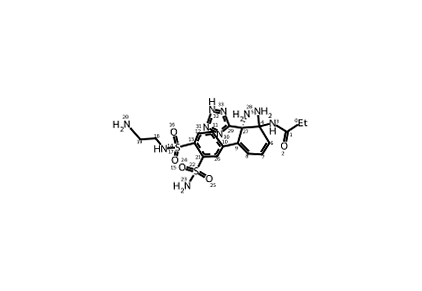 CCC(=O)NC1(N)C=CC=C(c2ccc(S(=O)(=O)NCCN)c(S(N)(=O)=O)c2)[C@@]1(N)c1nn[nH]n1